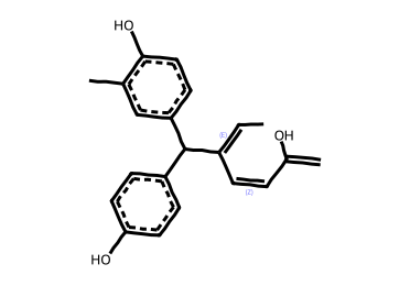 C=C(O)/C=C\C(=C/C)C(c1ccc(O)cc1)c1ccc(O)c(C)c1